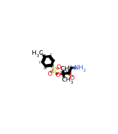 Cc1ccc(S(=O)(=O)OC(C)(C)C(=O)CN)cc1